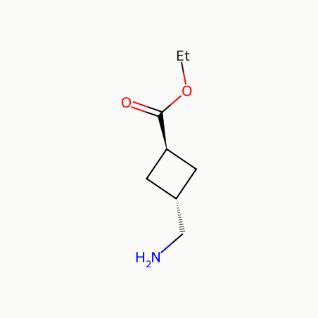 CCOC(=O)[C@H]1C[C@H](CN)C1